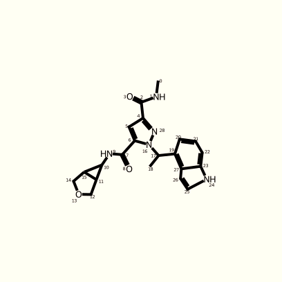 CNC(=O)c1cc(C(=O)NC2C3COCC32)n(C(C)c2cccc3[nH]ccc23)n1